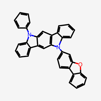 c1ccc(-n2c3ccccc3c3cc4c(cc32)c2ccccc2n4-c2ccc3c(c2)oc2ccccc23)cc1